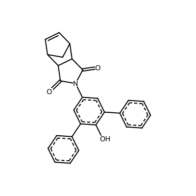 O=C1C2C3C=CC(C3)C2C(=O)N1c1cc(-c2ccccc2)c(O)c(-c2ccccc2)c1